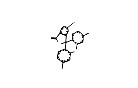 Cc1ccc2c(c1)Oc1cc(C)ccc1C21OC(=O)c2ccc(C(C)C)cc21